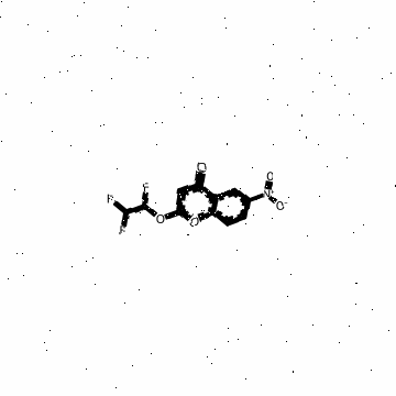 O=c1cc(OC(F)C(F)F)oc2ccc([N+](=O)[O-])cc12